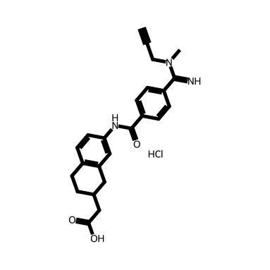 C#CCN(C)C(=N)c1ccc(C(=O)Nc2ccc3c(c2)CC(CC(=O)O)CC3)cc1.Cl